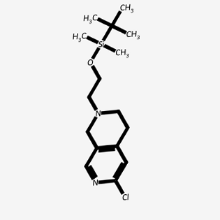 CC(C)(C)[Si](C)(C)OCCN1CCc2cc(Cl)ncc2C1